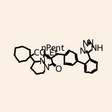 CCCCCc1c(Cc2ccc(-c3ccccc3-c3nnn[nH]3)cc2)c(=O)n2n1C(C1(C(=O)OCC)CCCCCC1)CCC2